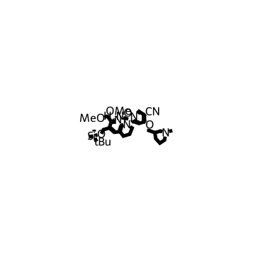 COC(OC)c1nc2c(cc1CO[Si](C)(C)C(C)(C)C)CCC[N+]2(C(N)=O)c1cc(OCC2CCCN(C)C2)c(C#N)cn1